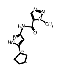 Cn1nncc1C(=O)Nc1cc([C@H]2C[CH]CC2)[nH]n1